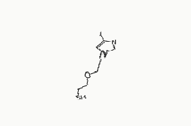 SCCOCn1cnc(I)c1